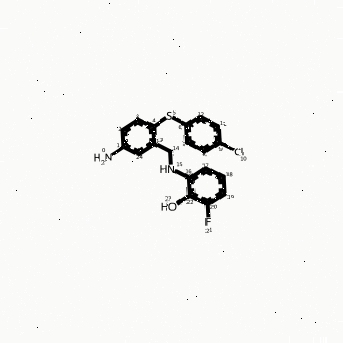 Nc1ccc(Sc2ccc(Cl)cc2)c(CNc2cccc(F)c2O)c1